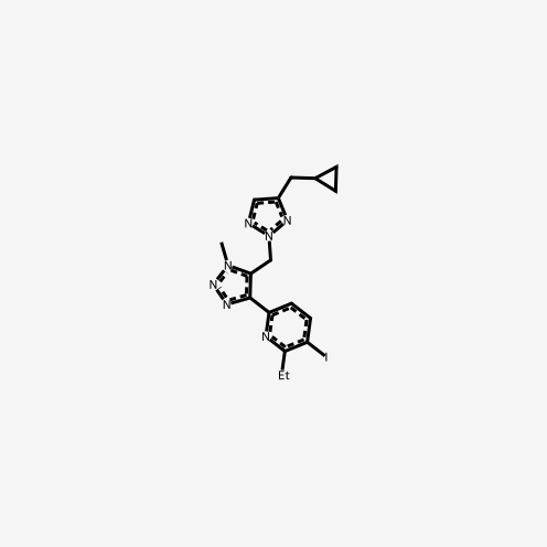 CCc1nc(-c2nnn(C)c2Cn2ncc(CC3CC3)n2)ccc1I